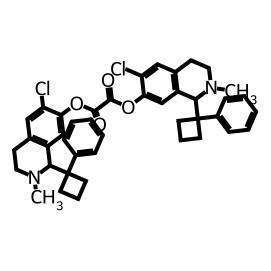 CN1CCc2cc(Cl)c(OC(=O)C(=O)Oc3cc4c(cc3Cl)CCN(C)C4C3(c4ccccc4)CCC3)cc2C1C1(c2ccccc2)CCC1